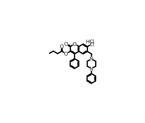 CCCC(=O)Oc1c(-c2ccccc2)c2cc(CN3CCN(c4ccccc4)CC3)c(Cl)cc2oc1=O.Cl